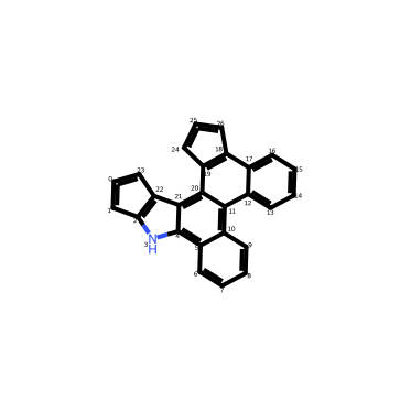 C1=Cc2[nH]c3c4ccccc4c4c5ccccc5c5c(c4c3c2C=1)C=C=C5